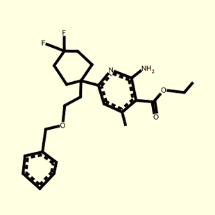 CCOC(=O)c1c(C)cc(C2(CCOCc3ccccc3)CCC(F)(F)CC2)nc1N